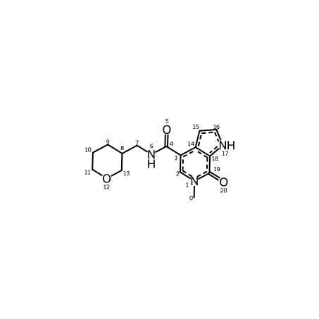 Cn1cc(C(=O)NCC2CCCOC2)c2cc[nH]c2c1=O